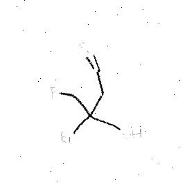 CCC(O)(F)C=S